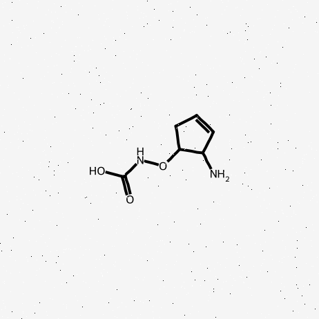 NC1C=CCC1ONC(=O)O